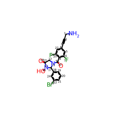 NCC#Cc1cc(F)c(C(=O)N2CC(=O)N(O)C2c2cccc(Br)c2)c(F)c1